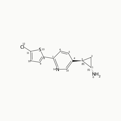 N[C@H]1C[C@@H]1c1ccc(-c2ccc(Cl)s2)nc1